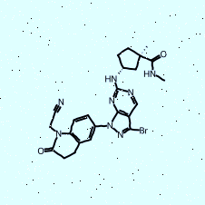 CNC(=O)[C@]1(C)CC[C@@H](Nc2ncc3c(Br)nn(-c4ccc5c(c4)CCC(=O)N5CC#N)c3n2)C1